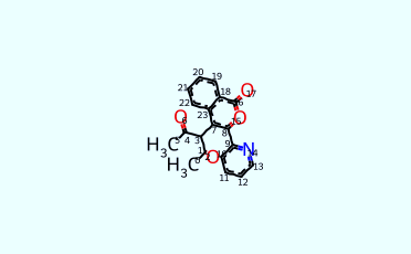 CC(=O)C(C(C)=O)c1c(-c2ccccn2)oc(=O)c2ccccc12